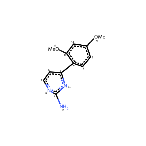 COc1ccc(-c2ccnc(N)n2)c(OC)c1